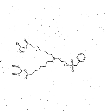 CCCCCCCCC(CC)OC(=O)CCCCCCCN(CCCCCCCC(=O)OC(CCCCCCCC)CCCCCCCC)CCCNS(=O)(=O)Cc1ccccc1